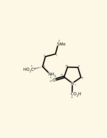 CSCC[C@H](N)C(=O)O.O=C(O)N1CCCC1=O